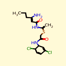 C=C(NC(=O)/C=C(\N)CCC)SCC(=O)NC1C=C(Cl)C=CC1Cl